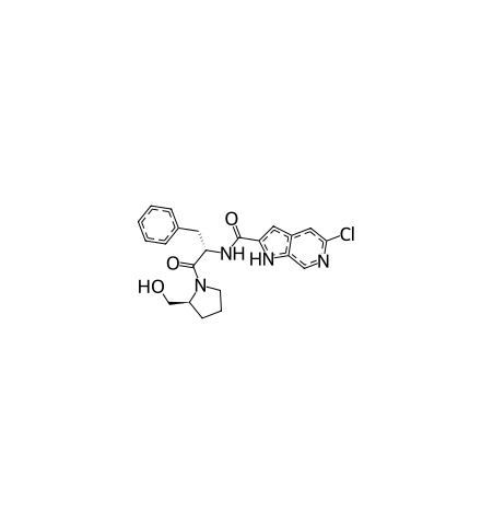 O=C(N[C@@H](Cc1ccccc1)C(=O)N1CCC[C@H]1CO)c1cc2cc(Cl)ncc2[nH]1